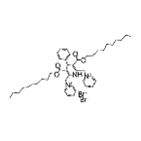 CCCCCCCCCCOC(=O)C1=C(C[n+]2ccccc2)NC(C[n+]2ccccc2)=C(C(=O)OCCCCCCCCCC)C1c1ccccc1.[Br-].[Br-]